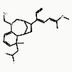 C=C/C(=C\C=C(/C)OC)C1CC2CC1CN(CO)C1=CC=CC(C)(CC(F)F)C12